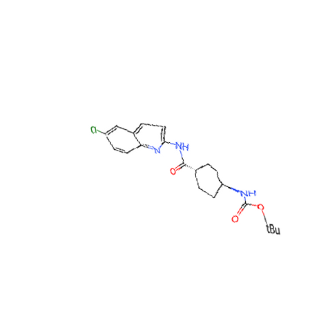 CC(C)(C)OC(=O)N[C@H]1CC[C@H](C(=O)Nc2ccc3cc(Cl)ccc3n2)CC1